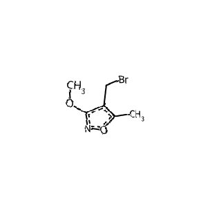 COc1noc(C)c1CBr